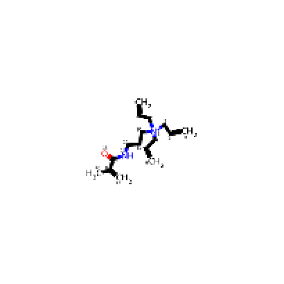 C=CC[N+](CC=C)(CC=C)CCCNC(=O)C(=C)C